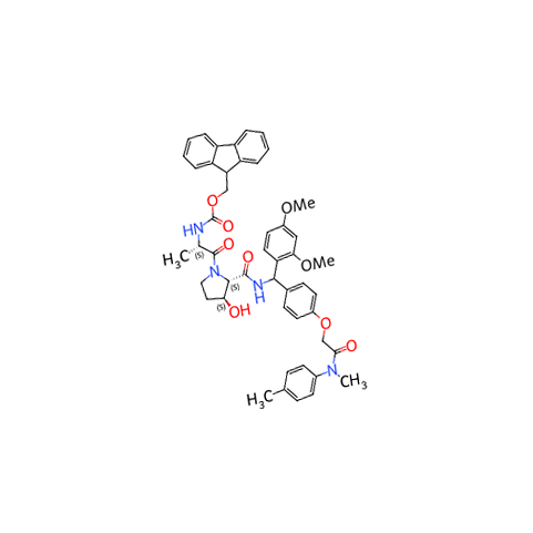 COc1ccc(C(NC(=O)[C@@H]2[C@@H](O)CCN2C(=O)[C@H](C)NC(=O)OCC2c3ccccc3-c3ccccc32)c2ccc(OCC(=O)N(C)c3ccc(C)cc3)cc2)c(OC)c1